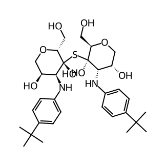 CC(C)(C)c1ccc(N[C@H]2[C@@H](O)CO[C@H](CO)[C@]2(O)S[C@@]2(O)[C@@H](CO)OC[C@H](O)[C@@H]2Nc2ccc(C(C)(C)C)cc2)cc1